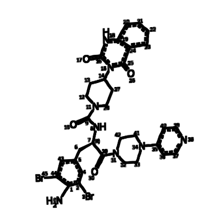 Nc1c(Br)cc(C[C@@H](NC(=O)N2CCC(n3c(=O)[nH]c4ccccc4c3=O)CC2)C(=O)N2CCN(c3ccncc3)CC2)cc1Br